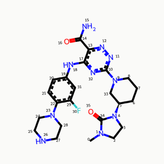 CN1CCN([C@@H]2CCCN(c3nnc(C(N)=O)c(Nc4ccc(N5CCNCC5)c(F)c4)n3)C2)C1=O